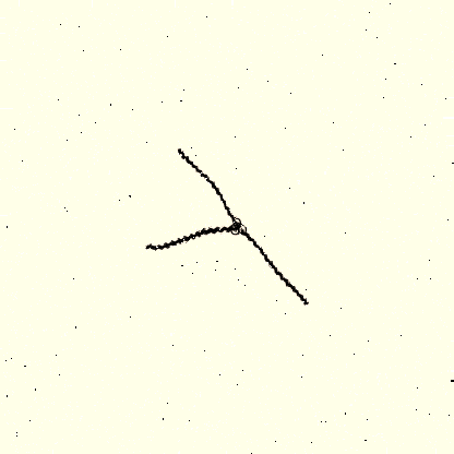 CCCCCCCCCCCCCCCCCCCCCCCCCCOP(OCCCCCCCCCCCCCCCCCCCCCCCCCC)OCCCCCCCCCCCCCCCCCCCCCCCCCC